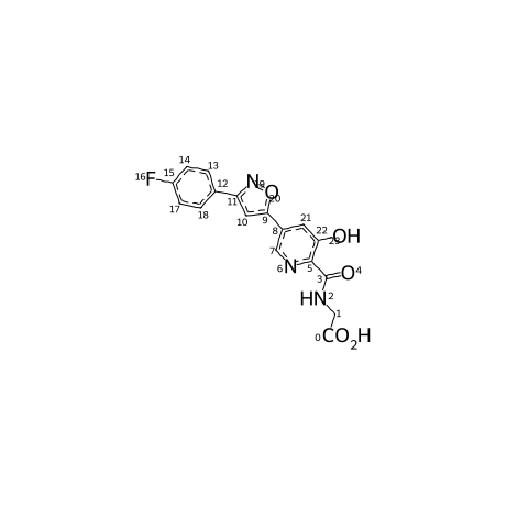 O=C(O)CNC(=O)c1ncc(-c2cc(-c3ccc(F)cc3)no2)cc1O